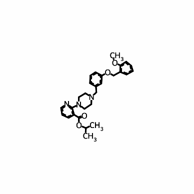 COc1ccccc1COc1cccc(CN2CCN(c3ncccc3C(=O)OC(C)C)CC2)c1